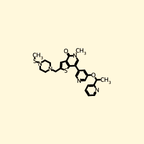 CSN1CCN(Cc2cc3c(=O)n(C)cc(-c4cncc(OC(C)c5ccccn5)c4)c3s2)CC1